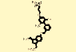 CC=C1CC(CC(=O)O)c2ccc(OCc3cccc(-c4c(C)cc(OCCCS(C)(=O)=O)cc4C)c3)cc21